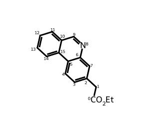 CCOC(=O)Cc1ccc2c(c1)ncc1ccccc12